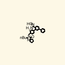 CCCCC1=NC2(CCCC2)C(=O)N1Cc1ccc(-c2cc(-c3ccccc3)ccc2/C(N)=N/O)cc1